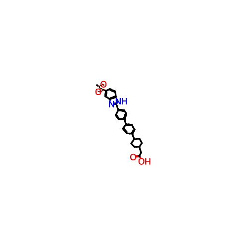 CS(=O)(=O)c1ccc2[nH]c(-c3ccc(-c4ccc(C5CCC(CC(=O)O)CC5)cc4)cc3)nc2c1